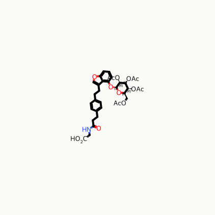 CC(=O)OC[C@H]1O[C@@H](Oc2cccc3occ(CCc4ccc(CCC(=O)NCC(=O)O)cc4)c23)[C@H](OC(C)=O)[C@@H](OC(C)=O)[C@@H]1OC(C)=O